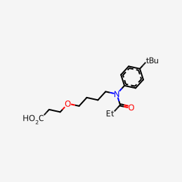 CCC(=O)N(CCCCOCCC(=O)O)c1ccc(C(C)(C)C)cc1